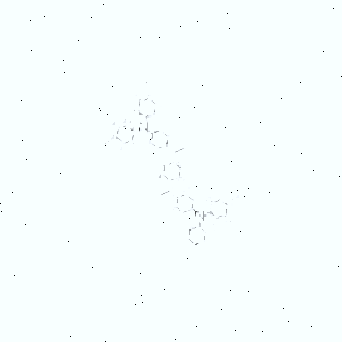 C=C(c1ccc(C(=C)c2ccc(N(c3ccc(C)cc3)c3ccc(C)cc3)cc2)cc1)c1ccc(N(c2ccc(C)cc2)c2ccc(C)cc2)cc1